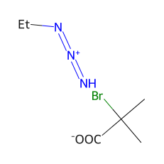 CC(C)(Br)C(=O)[O-].CCN=[N+]=N